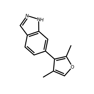 Cc1coc(C)c1-c1ccc2cn[nH]c2c1